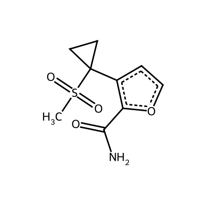 CS(=O)(=O)C1(c2ccoc2C(N)=O)CC1